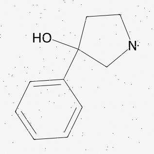 OC1(c2ccccc2)CC[N]C1